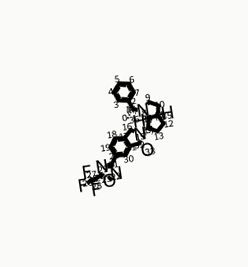 C[C@H](c1ccccc1)N1CC[C@H]2CC[C@H](N3Cc4ccc(-c5noc(C(F)(F)F)n5)cc4C3=O)[C@H]21